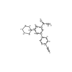 N#Cc1ccc(-c2cc(C(N)=O)nc(N3CCCCC3)n2)cc1